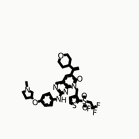 C=C(c1cc2cnc(Nc3ccc(OC4CCN(C)C4)cc3)nc2n(Cc2ccsc2S(=O)(=O)CC(F)(F)F)c1=O)C1CCOCC1